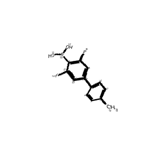 Cc1ccc(-c2cc(F)c(B(O)O)c(F)c2)cc1